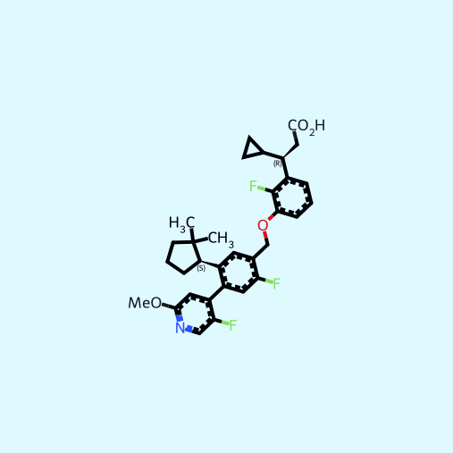 COc1cc(-c2cc(F)c(COc3cccc([C@H](CC(=O)O)C4CC4)c3F)cc2[C@H]2CCCC2(C)C)c(F)cn1